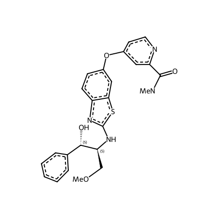 CNC(=O)c1cc(Oc2ccc3nc(N[C@@H](COC)[C@@H](O)c4ccccc4)sc3c2)ccn1